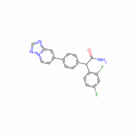 NC(=O)C(c1ccc(-c2ccn3ncnc3c2)cc1)c1ccc(F)cc1F